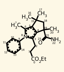 CCOC(=O)CCc1c2c(c(C)n1-c1ccccc1)C(C)(C)CC2(C)C(N)=O